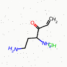 C=CC(=O)C(N)CCN.Cl